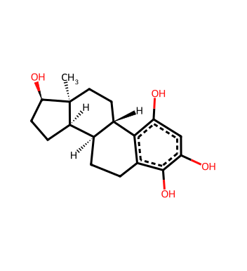 C[C@]12CC[C@@H]3c4c(O)cc(O)c(O)c4CC[C@H]3[C@H]1CC[C@H]2O